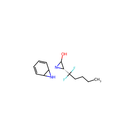 CCCCC(F)(F)[C@H]1C(O)[N@]1C12C=CC=CC1N2